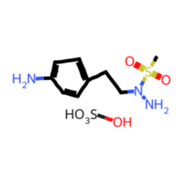 CS(=O)(=O)N(N)CCc1ccc(N)cc1.O=S(=O)(O)O